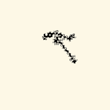 Cc1ncsc1-c1ccc(CNC(=O)[C@@H]2C[C@@H](OC(=O)OCC(C)(C)SS(C)(=O)=O)CN2C(=O)[C@@H](NC(O)COCCOCCOCCNC(=O)OC(C)(C)C)C(C)(C)C)cc1